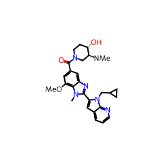 CN[C@H]1CN(C(=O)c2cc(OC)c3c(c2)nc(-c2cc4cccnc4n2CC2CC2)n3C)CC[C@@H]1O